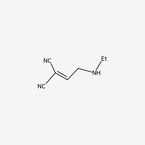 CCNCC=C(C#N)C#N